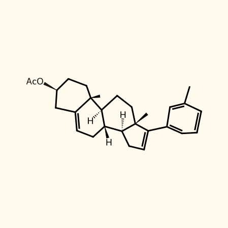 CC(=O)O[C@H]1CC[C@@]2(C)C(=CC[C@@H]3[C@@H]2CC[C@]2(C)C(c4cccc(C)c4)=CC[C@@H]32)C1